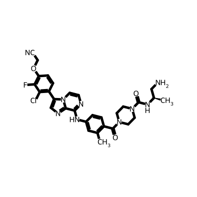 Cc1cc(Nc2nccn3c(-c4ccc(OCC#N)c(F)c4Cl)cnc23)ccc1C(=O)N1CCN(C(=O)N[C@H](C)CN)CC1